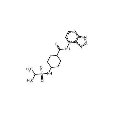 CC(C)S(=O)(=O)NC1CCC(C(=O)Nc2cccc3nsnc23)CC1